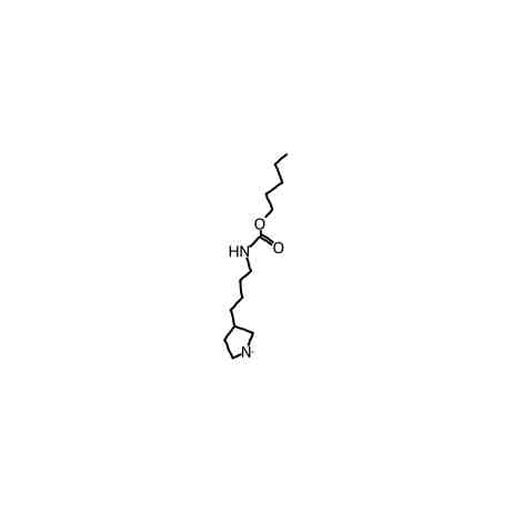 CCCCCOC(=O)NCCCCC1CC[N]C1